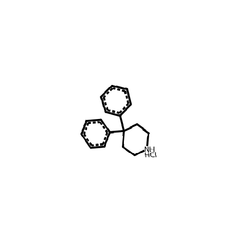 Cl.c1ccc(C2(c3ccccc3)CCNCC2)cc1